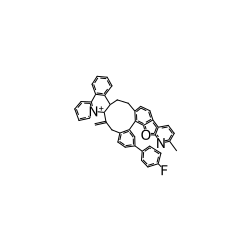 C=C1Cc2ccc(-c3ccc(F)cc3)cc2-c2c(ccc3c2oc2nc(C)ccc23)CCC2c3ccccc3-c3cccc[n+]3C12